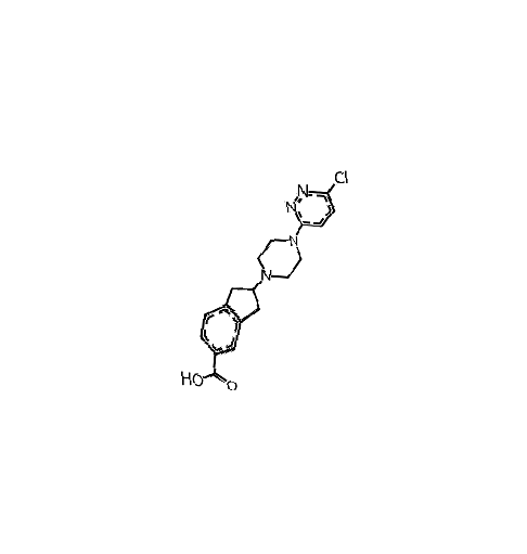 O=C(O)c1ccc2c(c1)CC(N1CCN(c3ccc(Cl)nn3)CC1)C2